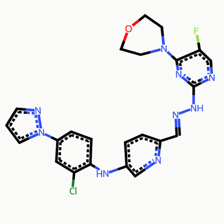 Fc1cnc(N/N=C/c2ccc(Nc3ccc(-n4cccn4)cc3Cl)cn2)nc1N1CCOCC1